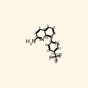 Nc1ccc2cccc(-c3ccc(C(F)(F)F)cn3)c2n1